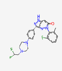 Cc1cccc(F)c1-n1nc2c(-c3ccc(N4CCN(CC(F)F)CC4)cc3)n[nH]c2cc1=O